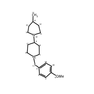 COc1ccc(SN2CCC(N3CCC(C)CC3)CC2)cc1